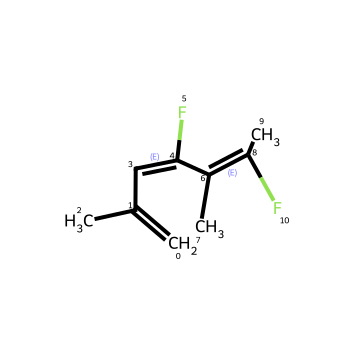 C=C(C)/C=C(F)\C(C)=C(/C)F